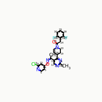 CC(=NOc1ccnc(Cl)c1)c1cnc(C)nc1C1CCN(C(=O)Cc2c(F)cccc2F)CC1